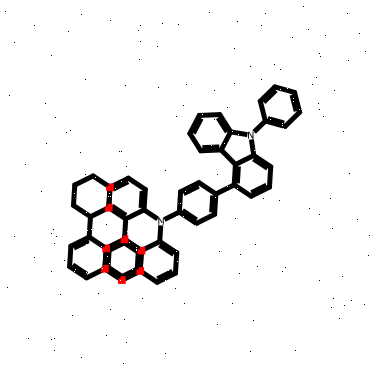 c1ccc(-n2c3ccccc3c3c(-c4ccc(N(c5ccccc5-c5cccc6cccc(C7CCCCC7)c56)c5cccc6ccccc56)cc4)cccc32)cc1